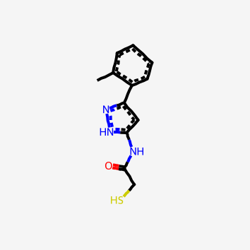 Cc1ccccc1-c1cc(NC(=O)CS)[nH]n1